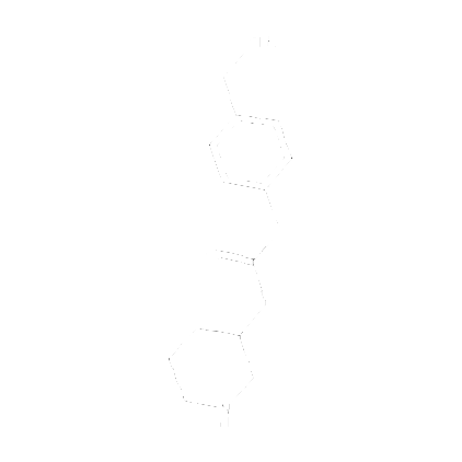 CCc1ccc(OC(=O)CC2CCCNC2)cc1